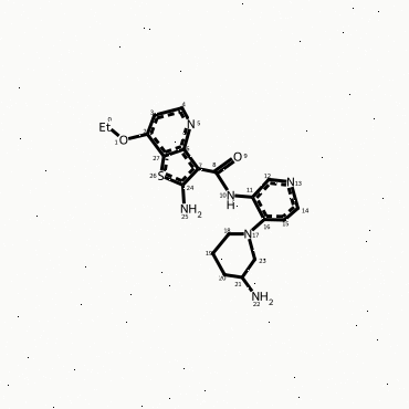 CCOc1ccnc2c(C(=O)Nc3cnccc3N3CCCC(N)C3)c(N)sc12